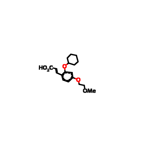 COCCOc1ccc(C=CC(=O)O)c(OC2CCCCC2)c1